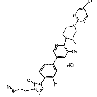 CCc1cnc(N2CCN(c3ncc(-c4ccc(-n5cnn(CCNC(C)C)c5=O)c(F)c4)cc3C#N)C(C)C2)nc1.Cl